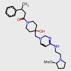 CO[C@@H]1CCCN1CCNC1=NCN(CC2(O)CCN(C(=O)CC(C)c3ccccc3)CC2)C=C1